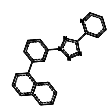 c1ccc(-c2nnn(-c3cccc(-c4cccc5ccccc45)c3)n2)nc1